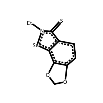 CCn1[se]c2c3c(ccc2c1=S)OCO3